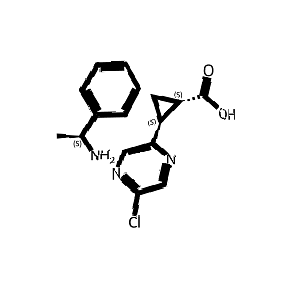 C[C@H](N)c1ccccc1.O=C(O)[C@H]1C[C@@H]1c1cnc(Cl)cn1